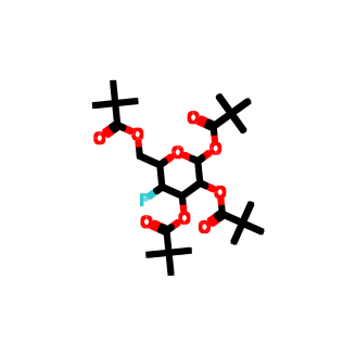 CC(C)(C)C(=O)OCC1OC(OC(=O)C(C)(C)C)C(OC(=O)C(C)(C)C)C(OC(=O)C(C)(C)C)C1F